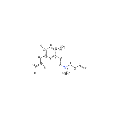 C=CCCN(CCC)CCc1cc(C/C(C)=C/C)c(C)cc1C(C)C